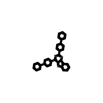 c1ccc(-c2ccc(-c3nc(-c4ccc(-c5ccccc5)cc4)c4sc5ccccc5c4n3)cc2)cc1